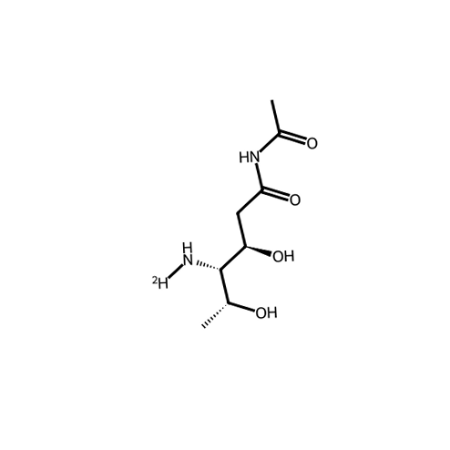 [2H]N[C@H]([C@H](O)CC(=O)NC(C)=O)[C@@H](C)O